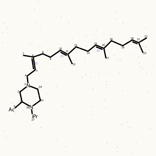 CC(=O)C1CN(C/C=C(\C)CC/C=C(\C)CC/C=C(\C)CCC=C(C)C)CCN1C(C)C